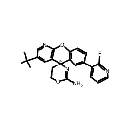 CC(C)(C)c1cnc2c(c1)[C@]1(CCOC(N)=N1)c1cc(-c3cccnc3F)ccc1O2